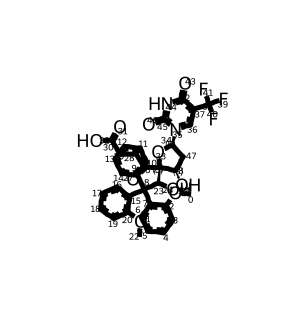 COc1ccccc1C(c1ccccc1)(c1ccccc1OC)C(O)[C@@]1(C(=O)CCC(=O)O)O[C@@H](n2cc(C(F)(F)F)c(=O)[nH]c2=O)C[C@@H]1O